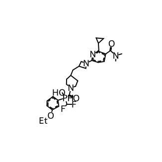 CCOc1cccc([PH](O)(C(=O)N2CCC(CC3CN(c4ccc(C(=O)N(C)C)c(C5CC5)n4)C3)CC2)C(F)F)c1